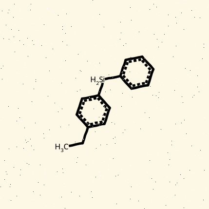 CCc1ccc([SiH2]c2ccccc2)cc1